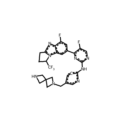 Fc1cnc(Nc2ccc(CN3CC4(CNC4)C3)cn2)nc1-c1cc(F)c2nc3n(c2c1)C(C(F)(F)F)CC3